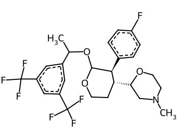 CC(OC1OCC[C@@H](C2CN(C)CCO2)[C@@H]1c1ccc(F)cc1)c1cc(C(F)(F)F)cc(C(F)(F)F)c1